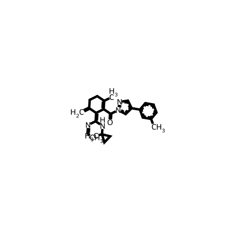 C=C1CCC(C)=C(C(=O)n2cc(-c3cccc(C)c3)cn2)/C1=C(/N=C\C)NC1(C)CC1